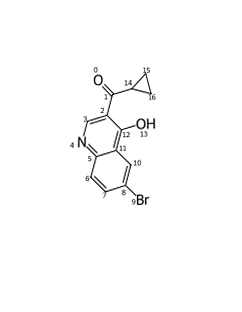 O=C(c1cnc2ccc(Br)cc2c1O)C1CC1